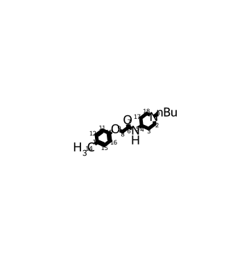 CCCCN1CCC(NC(=O)COc2ccc(C)cc2)CC1